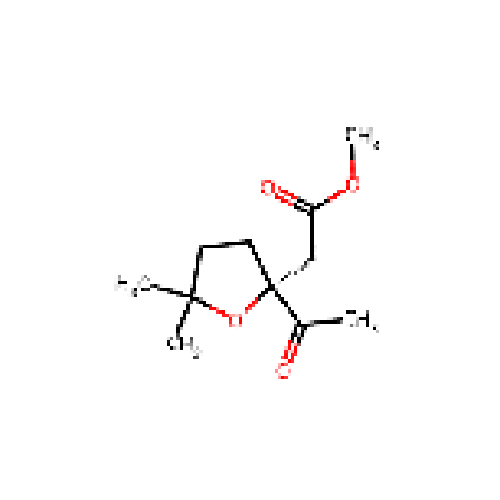 COC(=O)C[C@@]1(C(C)=O)CCC(C)(C)O1